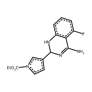 CCOC(=O)n1ccc(C2N=C(N)c3c(F)cccc3N2)c1